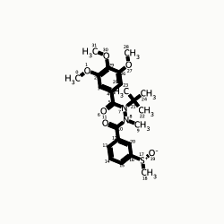 COc1cc(C(=O)N(N(C)C(=O)c2cccc([S+](C)[O-])c2)C(C)(C)C)cc(OC)c1OC